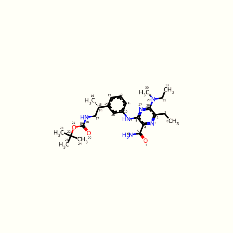 CCc1nc(C(N)=O)c(Nc2cccc([C@@H](C)CNC(=O)OC(C)(C)C)c2)nc1N(C)CC